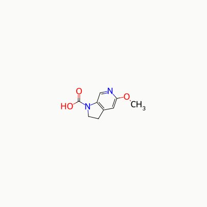 COc1cc2c(cn1)N(C(=O)O)CC2